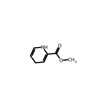 COC(=O)C1=CCC=CN1